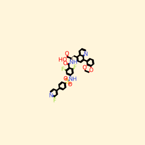 O=C(N[C@@H](Cc1ccc(-c2cccc3c2OCCO3)c2ncccc12)C(=O)O)c1c(F)cc(NS(=O)(=O)c2ccc(-c3ccnc(F)c3)cc2)cc1F